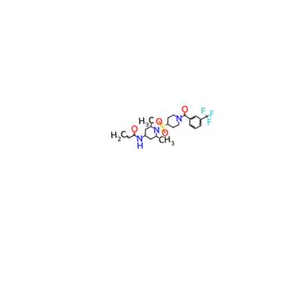 C=CC(=O)NC1CC(C)N(S(=O)(=O)C2CCN(C(=O)c3cccc(C(F)(F)F)c3)CC2)C(C)C1